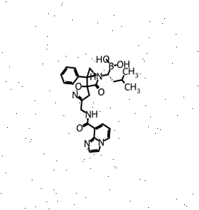 CC(C)C[C@H](NC(=O)C1(C2(c3ccccc3)CC2)CC(CNC(=O)c2cccn3ccnc23)=NO1)B(O)O